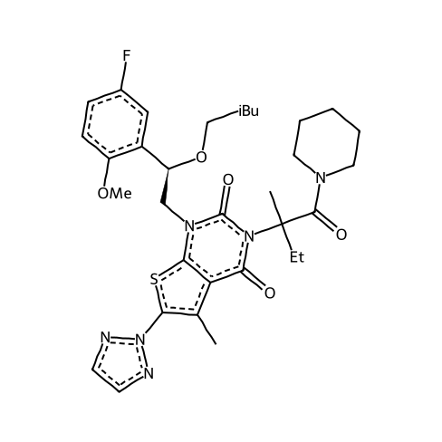 CCC(C)CO[C@@H](Cn1c(=O)n(C(C)(CC)C(=O)N2CCCCC2)c(=O)c2c(C)c(-n3nccn3)sc21)c1cc(F)ccc1OC